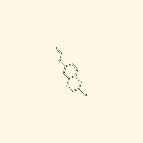 O=COc1ccc2cc(O)ccc2c1